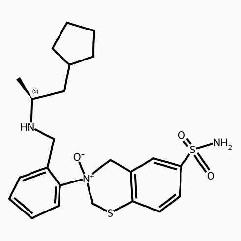 C[C@@H](CC1CCCC1)NCc1ccccc1[N+]1([O-])CSc2ccc(S(N)(=O)=O)cc2C1